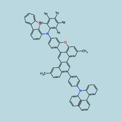 [2H]c1c([2H])c([2H])c(N(c2ccc3c(c2)Oc2cc(C)cc4c2c-3cc2c3cc(C)ccc3c(-c3ccc(N(c5ccccc5)c5ccccc5-c5ccccc5)cc3)cc42)c2cccc3c2oc2ccccc23)c([2H])c1[2H]